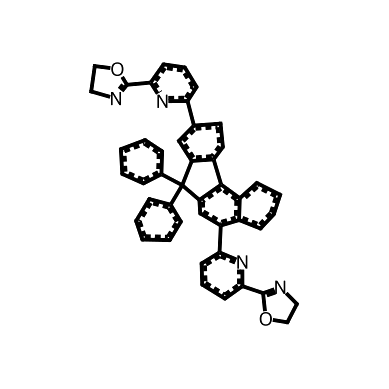 c1ccc(C2(c3ccccc3)c3cc(-c4cccc(C5=NCCO5)n4)ccc3-c3c2cc(-c2cccc(C4=NCCO4)n2)c2ccccc32)cc1